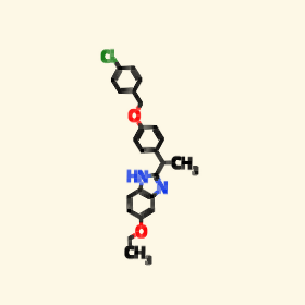 CCOc1ccc2[nH]c(C(C)c3ccc(OCc4ccc(Cl)cc4)cc3)nc2c1